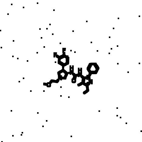 CCc1nn(-c2ccccc2)c(NC(=O)N[C@@H]2CN(CCOC)C[C@H]2c2ccc(F)c(F)c2)c1C